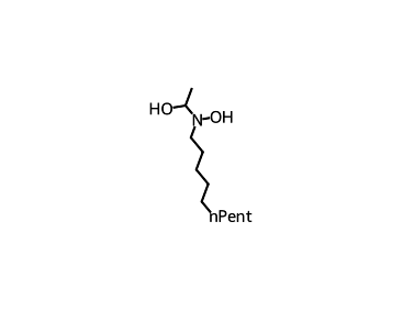 CCCCCCCCCCN(O)C(C)O